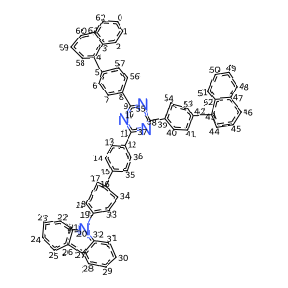 c1ccc2c(-c3ccc(-c4nc(-c5ccc(-c6ccc(-n7c8ccccc8c8ccccc87)cc6)cc5)nc(-c5ccc(-c6cccc7ccccc67)cc5)n4)cc3)cccc2c1